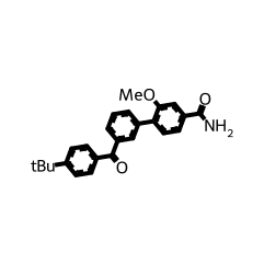 COc1cc(C(N)=O)ccc1-c1cccc(C(=O)c2ccc(C(C)(C)C)cc2)c1